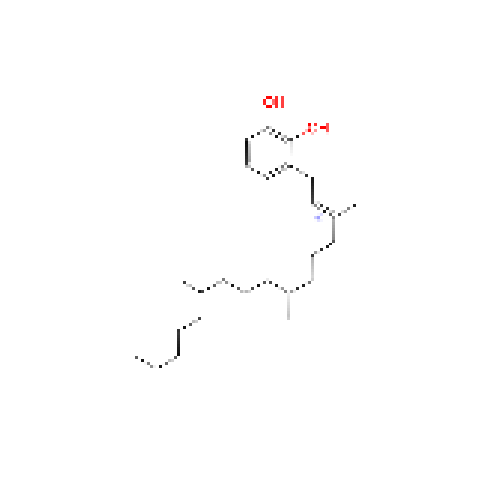 C/C(=C\Cc1cccc(O)c1O)CCCC(C)CCCC(C)CCCC(C)C